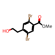 COC(=O)c1cc(Br)c(CCO)cc1Br